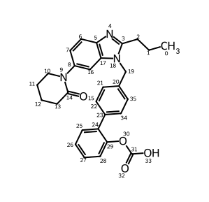 CCCc1nc2ccc(N3CCCCC3=O)cc2n1Cc1ccc(-c2ccccc2OC(=O)O)cc1